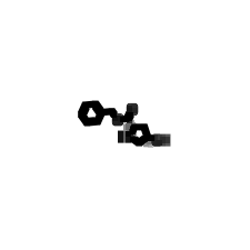 O=C(OCc1ccccc1)[C@@H]1C[C@@H](O)CN1